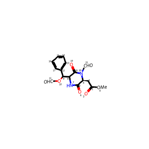 COC(=O)C[C@H]1C(=O)NC(C(OC=O)c2ccccc2)C(=O)N1C=O